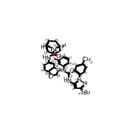 Cc1ccc(-n2nc(C(C)(C)C)cc2NC(=O)Nc2cccc(C[C@@H]3C[C@H]4CC[C@@H](C3)N4C(=O)Nc3ccc4c(c3)OCO4)c2)cc1